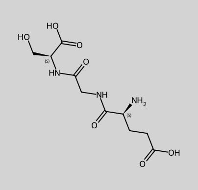 N[C@@H](CCC(=O)O)C(=O)NCC(=O)N[C@@H](CO)C(=O)O